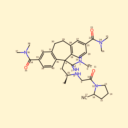 CC(C)NC(=N)C1(C[C@H](C)NCC(=O)N2CCCC2C#N)c2ccc(C(=O)N(C)C)cc2CCc2cc(C(=O)N(C)C)ccc21